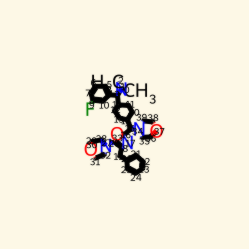 CN(C)C(c1cccc(F)c1)C1CCC(C(c2nc(Cc3ccccc3)c(N3CCOCC3)o2)N2CCOCC2)CC1